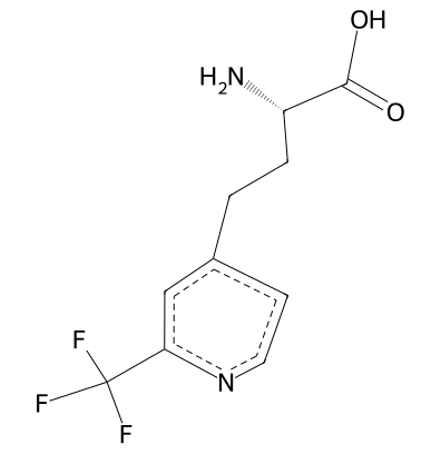 N[C@@H](CCc1ccnc(C(F)(F)F)c1)C(=O)O